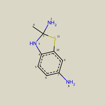 CC1(N)Nc2ccc(N)cc2S1